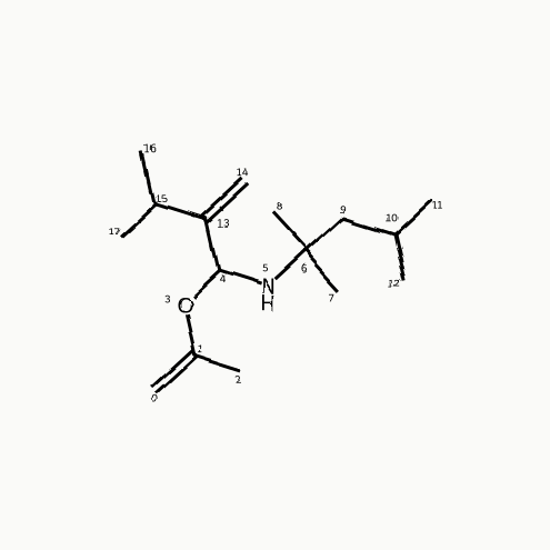 C=C(C)OC(NC(C)(C)CC(C)C)C(=C)C(C)C